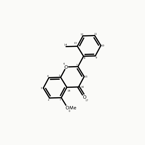 COc1cccc2oc(-c3ccccc3C)cc(=O)c12